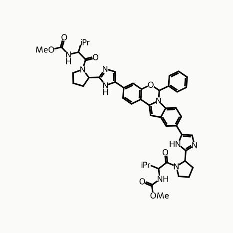 COC(=O)NC(C(=O)N1CCCC1c1ncc(-c2ccc3c(c2)OC(c2ccccc2)n2c-3cc3cc(-c4cnc(C5CCCN5C(=O)C(NC(=O)OC)C(C)C)[nH]4)ccc32)[nH]1)C(C)C